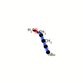 C=CC(=O)OCCN(C)c1ccc(N=Nc2ccc(N=Nc3ccc(N=Nc4ccc(CCCC)cc4)cc3)c(C)c2)cc1